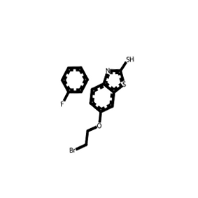 Fc1ccccc1.Sc1nc2ccc(OCCBr)cc2s1